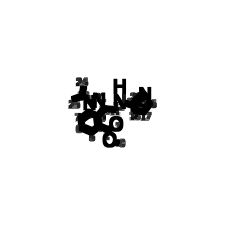 COC(=O)c1cccc2c1c(CNC1CN3CCC1CC3)nn2C(C)C